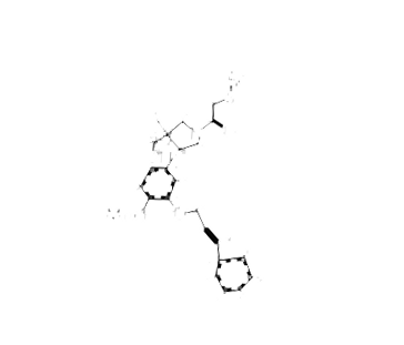 COc1ccc([C@@H]2CN(C(=O)CSC(C)=O)C[C@@]2(C)[C@@H](C)O)cc1OCC#Cc1ccccc1